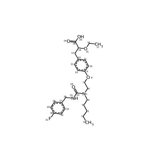 CCCCCN(CCOc1ccc(CC(OCC)C(=O)O)cc1)C(=O)NCc1ccc(F)cc1